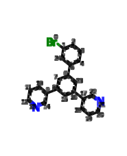 Brc1cccc(-c2cc(-c3cccnc3)cc(-c3cccnc3)c2)c1